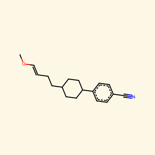 COC=CCCC1CCC(c2ccc(C#N)cc2)CC1